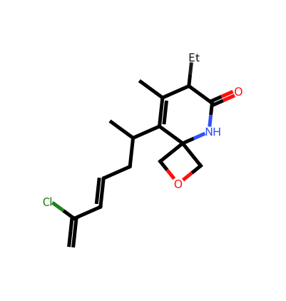 C=C(Cl)/C=C/CC(C)C1=C(C)C(CC)C(=O)NC12COC2